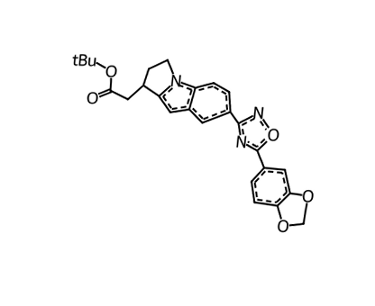 CC(C)(C)OC(=O)CC1CCn2c1cc1cc(-c3noc(-c4ccc5c(c4)OCO5)n3)ccc12